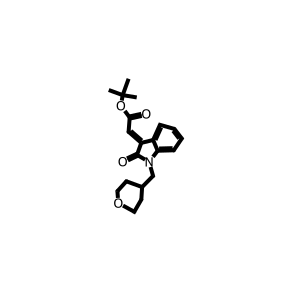 CC(C)(C)OC(=O)/C=C1/C(=O)N(CC2CCOCC2)c2ccccc21